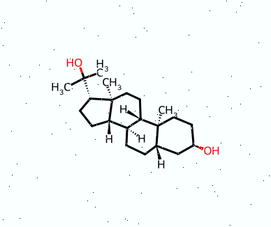 CC(C)(O)[C@H]1CC[C@H]2[C@@H]3CC[C@H]4C[C@H](O)CC[C@]4(C)[C@H]3CC[C@]12C